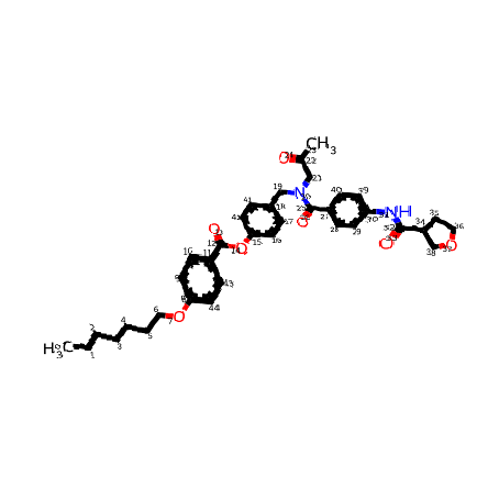 CCCCCCCOc1ccc(C(=O)Oc2ccc(CN(CC(C)=O)C(=O)c3ccc(NC(=O)C4CCOC4)cc3)cc2)cc1